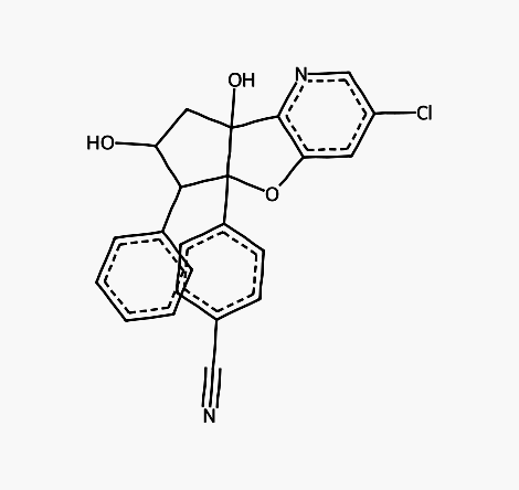 N#Cc1ccc(C23Oc4cc(Cl)cnc4C2(O)CC(O)C3c2ccccc2)cc1